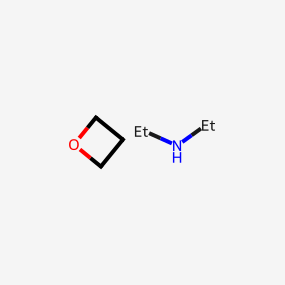 C1COC1.CCNCC